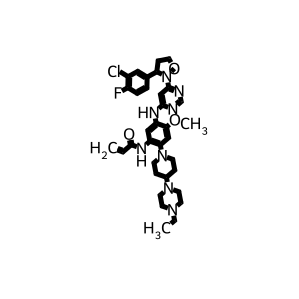 C=CC(=O)Nc1cc(Nc2cc(N3OCCC3c3ccc(F)c(Cl)c3)ncn2)c(OC)cc1N1CCC(N2CCN(CC)CC2)CC1